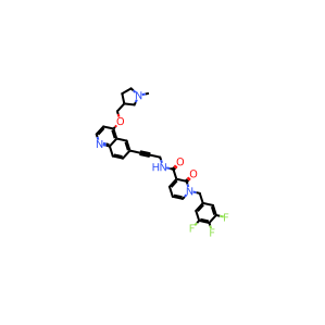 CN1CCC(COc2ccnc3ccc(C#CCNC(=O)c4cccn(Cc5cc(F)c(F)c(F)c5)c4=O)cc23)C1